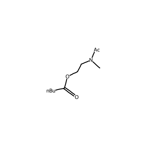 CCCCC(=O)OCCN(C)C(C)=O